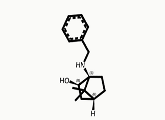 CC1(C)[C@@H]2CC[C@@]1(NCc1ccccc1)[C@H](O)C2